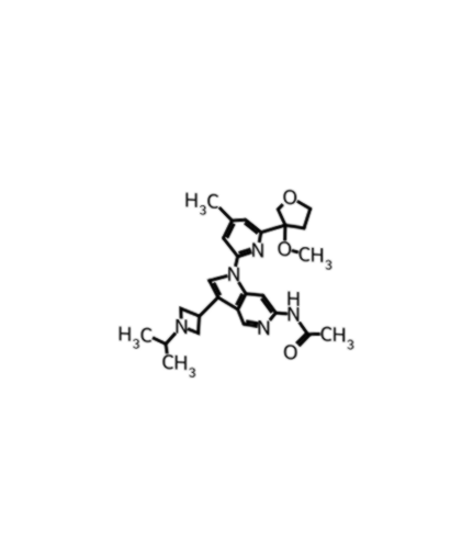 COC1(c2cc(C)cc(-n3cc(C4CN(C(C)C)C4)c4cnc(NC(C)=O)cc43)n2)CCOC1